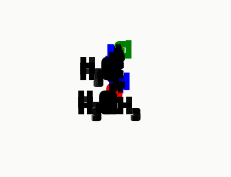 Cc1cc2c(cc1-c1cc3cc(Cl)ncc3n1C)ncn2COCC[Si](C)(C)C